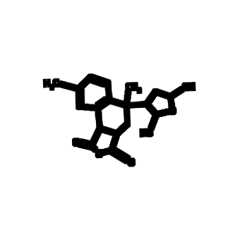 Cc1ccc2c(c1)C1C(=O)OC(=O)C1CC2(C)C1CC(O)OC1O